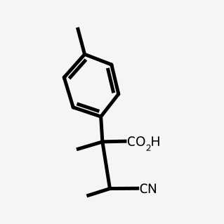 Cc1ccc(C(C)(C(=O)O)C(C)C#N)cc1